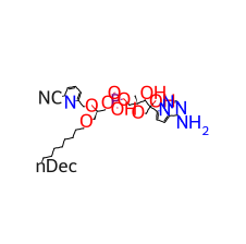 CCCCCCCCCCCCCCCCCCOC[C@H](COP(=O)(O)OC[C@@]1(C)OCC(O)(c2ccc3c(N)ncnn23)[C@@H]1O)OCc1cccc(C#N)n1